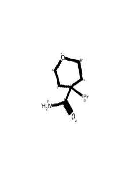 CC(C)C1(C(N)=O)CCOCC1